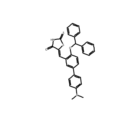 CN(C)c1ccc(-c2ccc(OC(c3ccccc3)c3ccccc3)c(/C=C3\SC(=S)NC3=O)c2)cc1